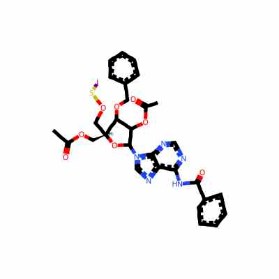 CC(=O)OC[C@]1(COSI)OC(n2cnc3c(NC(=O)c4ccccc4)ncnc32)C(OC(C)=O)C1OCc1ccccc1